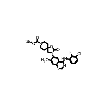 Cc1cc2ncnc(Nc3cccc(Cl)c3F)c2cc1N1CC2(CCN(C(=O)OC(C)(C)C)CC2)OC1=O